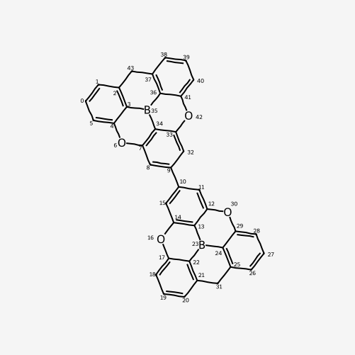 c1cc2c3c(c1)Oc1cc(-c4cc5c6c(c4)Oc4cccc7c4B6c4c(cccc4O5)C7)cc4c1B3c1c(cccc1O4)C2